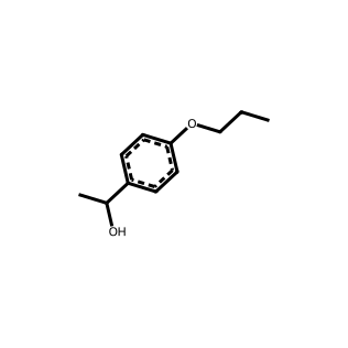 CCCOc1ccc(C(C)O)cc1